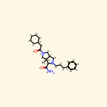 NC(=O)C1[C@@H]2CN(C(=O)CC3CCCCC3)CC2CN1CC[CH]c1ccccc1